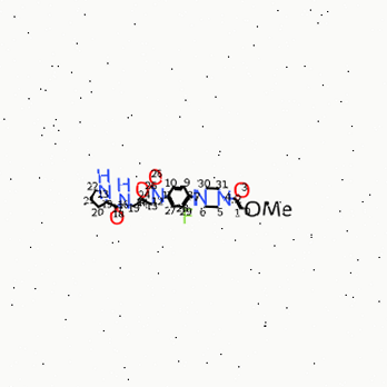 COCC(=O)N1CCN(c2ccc(N3C[C@@H](CNC(=O)C4CCCN4)OC3=O)cc2F)CC1